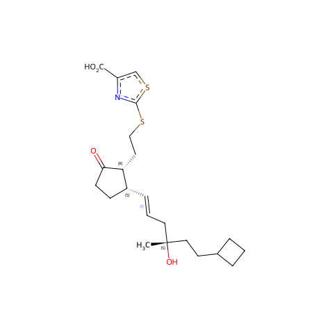 C[C@@](O)(C/C=C/[C@@H]1CCC(=O)[C@@H]1CCSc1nc(C(=O)O)cs1)CCC1CCC1